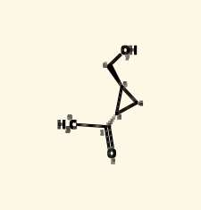 CC(=O)[C@H]1C[C@@H]1CO